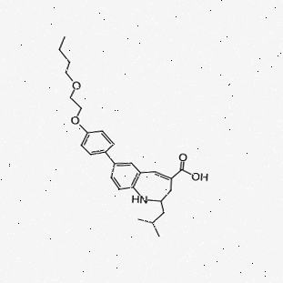 CCCCOCCOc1ccc(-c2ccc3c(c2)C=C(C(=O)O)CC(CC(C)C)N3)cc1